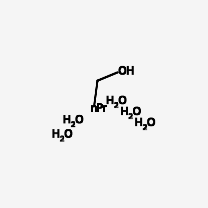 CCCCO.O.O.O.O.O